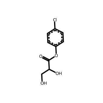 O=C(Oc1ccc(Cl)cc1)C(O)CO